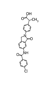 CC(C(=O)O)c1ccc(N2Cc3ccc(NC(=O)c4ccc(Cl)cc4)cc3C2=O)cc1